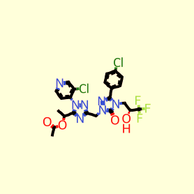 CC(=O)OC(C)c1nc(Cn2nc(-c3ccc(Cl)cc3)n(C[C@H](O)C(F)(F)F)c2=O)nn1-c1ccncc1Cl